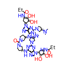 CCC(=O)N[C@H]1C[C@@H](n2cnc3c(N[C@@H]4CCN(C(=O)N5CC[C@@H](Nc6nc(N7CC[C@@H](N(C)C)C7)nc7c6ncn7[C@@H]6C[C@H](NC(=O)CC)[C@@H](O)[C@H]6O)C5)C4)nc(N4CC[C@@H](N(C)C)C4)nc32)[C@H](O)[C@@H]1O